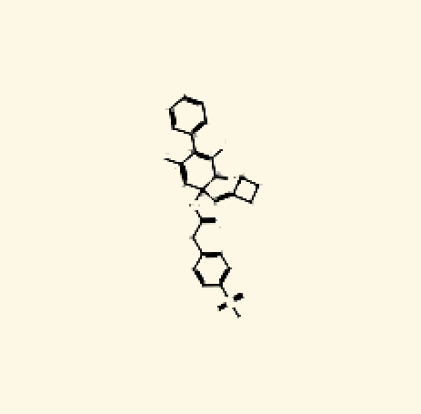 CS(=O)(=O)c1ccc(CC(=O)NC2(C=C3CCC3)C=C(Cl)C(c3ccccc3)=C(Cl)C2C#N)cc1